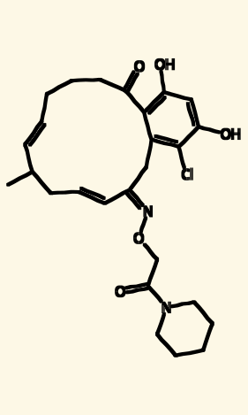 CC1/C=C/CCCC(=O)c2c(O)cc(O)c(Cl)c2CC(=N/OCC(=O)N2CCCCC2)/C=C/C1